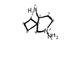 NC1CCN(N)CC12CCC2